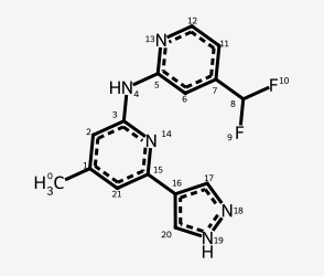 Cc1cc(Nc2cc(C(F)F)ccn2)nc(-c2cn[nH]c2)c1